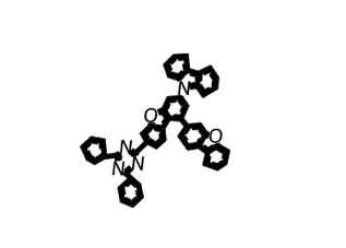 c1ccc(-c2nc(-c3ccccc3)nc(-c3ccc4c(c3)oc3cc(-n5c6ccccc6c6ccccc65)cc(-c5ccc6c(c5)oc5ccccc56)c34)n2)cc1